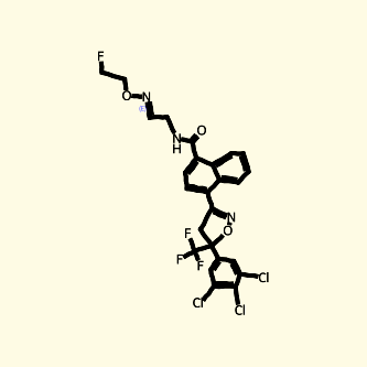 O=C(NC/C=N/OCCF)c1ccc(C2=NOC(c3cc(Cl)c(Cl)c(Cl)c3)(C(F)(F)F)C2)c2ccccc12